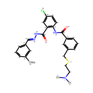 CCN(CC)CCSCc1cccc(C(=O)Nc2ccc(Cl)cc2C(=O)N/N=C/c2cccc(OC)c2)c1